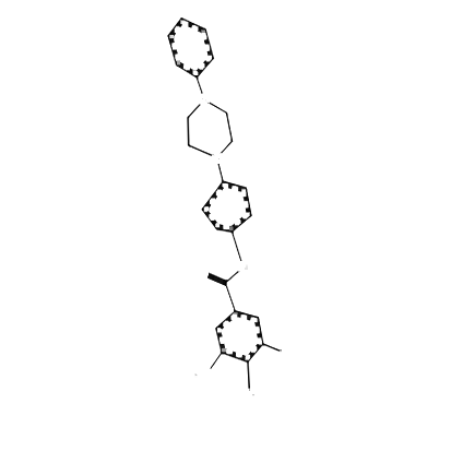 O=Cc1cc(C(=O)Nc2ccc(N3CCN(c4ccccc4)CC3)cc2)cc(F)c1O